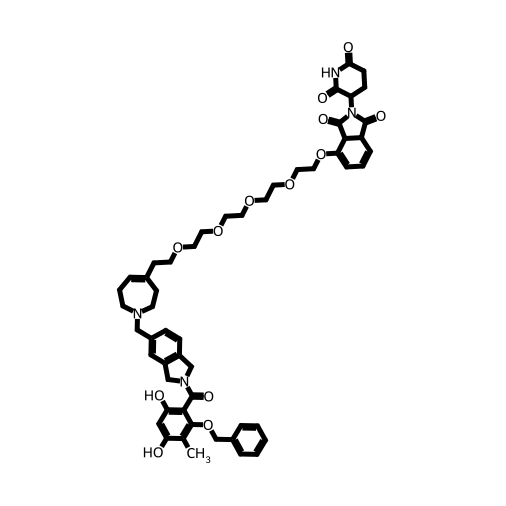 Cc1c(O)cc(O)c(C(=O)N2Cc3ccc(CN4CCC=C(CCOCCOCCOCCOCCOC5=CC=CC6C(=O)N(C7CCC(=O)NC7=O)C(=O)C56)CC4)cc3C2)c1OCc1ccccc1